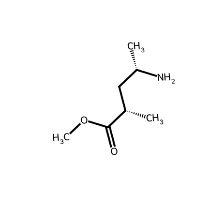 COC(=O)[C@@H](C)C[C@H](C)N